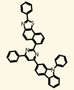 c1ccc(-c2cc(-c3ccc4c5ccccc5n(-c5ccccc5)c4c3)nc(-c3cccc4c3ccc3nc(-c5ccccc5)sc34)n2)cc1